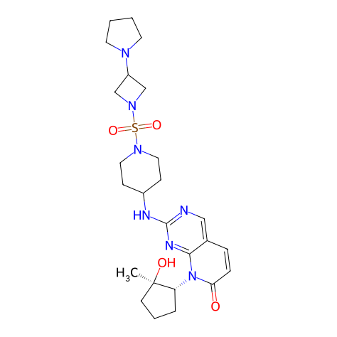 C[C@@]1(O)CCC[C@H]1n1c(=O)ccc2cnc(NC3CCN(S(=O)(=O)N4CC(N5CCCC5)C4)CC3)nc21